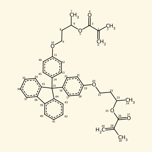 C=C(C)C(=O)OC(C)CCOc1ccc(C2(c3ccc(OCCC(C)OC(=O)C(=C)C)cc3)c3ccccc3-c3ccccc32)cc1